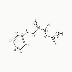 C=C(O)CN(C)C(=O)CCc1ccccc1